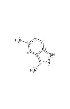 Bc1ccc2[nH]nc(N)c2c1